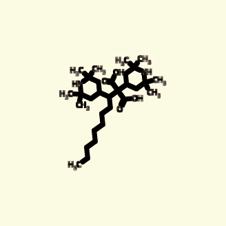 CCCCCCCCC(C1CC(C)(C)NC(C)(C)C1)C(C(=O)O)(C(=O)O)C1CC(C)(C)NC(C)(C)C1